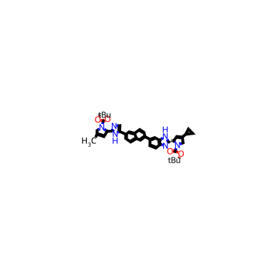 CC1=CC(c2ncc(-c3ccc4cc(-c5ccc6nc([C@@H]7C=C(C8CC8)CN7C(=O)OC(C)(C)C)[nH]c6c5)ccc4c3)[nH]2)N(C(=O)OC(C)(C)C)C1